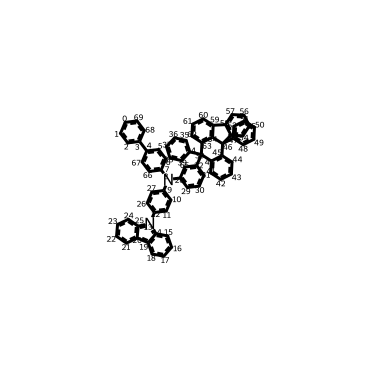 c1ccc(-c2ccc(N(c3ccc(-n4c5ccccc5c5ccccc54)cc3)c3cccc(C4(c5ccccc5)c5ccccc5C5(c6ccccc6)c6ccccc6-c6cccc4c65)c3)cc2)cc1